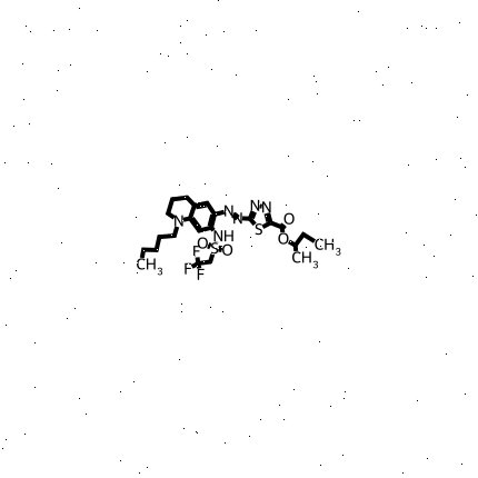 CCCCCN1CCCc2cc(N=Nc3nnc(C(=O)OC(C)CC)s3)c(NS(=O)(=O)CC(F)(F)F)cc21